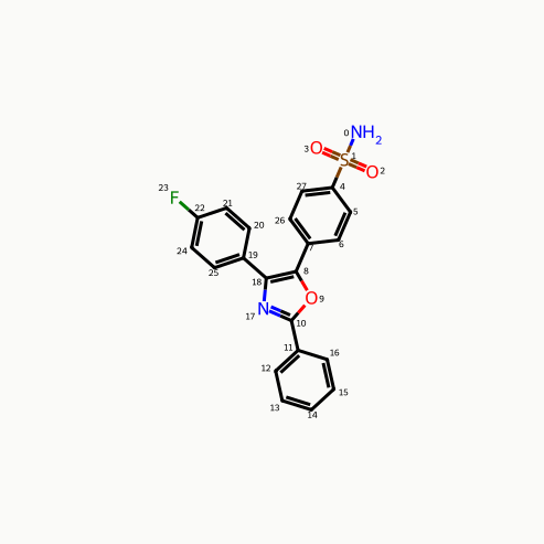 NS(=O)(=O)c1ccc(-c2oc(-c3ccccc3)nc2-c2ccc(F)cc2)cc1